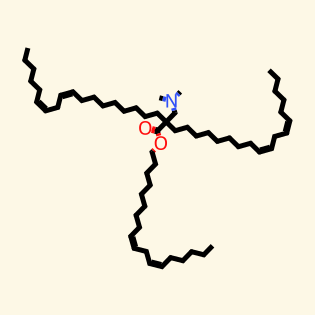 CCCCC/C=C\C/C=C\CCCCCCCCOC(=O)C(CCCCCCCC/C=C\C/C=C\CCCCC)(CCCCCCCC/C=C\C/C=C\CCCCC)CN(C)C